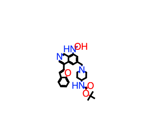 CC(C)(C)OC(=O)NC1CCN(Cc2cc(NO)c3cncc(-c4cc5ccccc5o4)c3c2)CC1